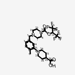 Cc1ccc(CN2CCN(C(=O)OC(C(F)(F)F)C(F)(F)F)CC2)cc1N1CCC(C(=O)O)CC1